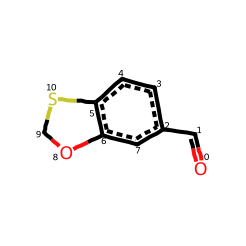 O=Cc1ccc2c(c1)OCS2